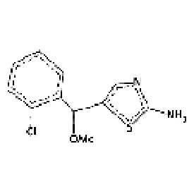 COC(c1cnc(N)s1)c1ccccc1Cl